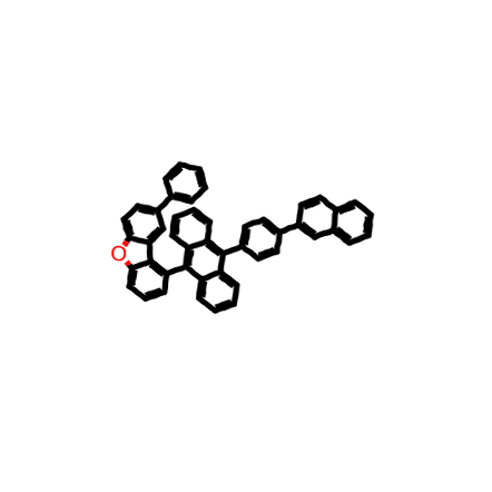 c1ccc(-c2ccc3oc4cccc(-c5c6ccccc6c(-c6ccc(-c7ccc8ccccc8c7)cc6)c6ccccc56)c4c3c2)cc1